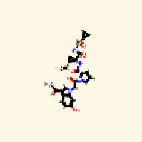 C=C[C@@H]1C[C@]1(NC(=O)[C@@H]1C[C@@H](F)CN1C(=O)Cn1cc(C(C)=O)c2ccc(O)cc21)C(=O)NS(=O)(=O)C1CC1